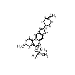 C[C@H]1CC=C(c2ccc3sc(C4CCN(C)CC4)nc3c2)N(C(=O)OC(C)(C)C)C1